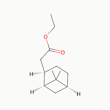 CCOC(=O)C[C@H]1CC[C@H]2C[C@@H]1C2(C)C